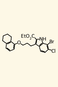 CCOC(=O)c1[nH]c2c(Br)c(Cl)ccc2c1CCCOc1cccc2c1CCCC2